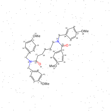 COc1ccc(CN(Cc2ccc(OC)cc2)C(=O)CCCCCN(Cc2ccc(OC)cc2)C(=O)c2ccc(OC)cc2)cc1